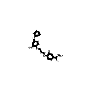 CCCc1cc(Oc2ccccc2)ccc1OCCCSc1ccc(C(SC(C)=O)C(C)=O)cc1Cl